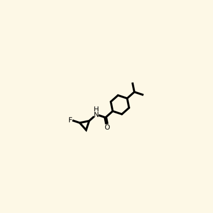 CC(C)C1CCC(C(=O)NC2CC2F)CC1